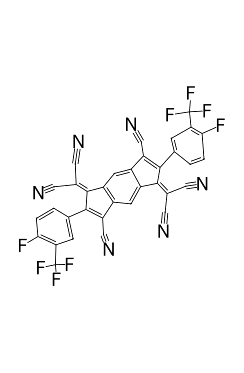 N#CC(C#N)=C1C(c2ccc(F)c(C(F)(F)F)c2)=C(C#N)c2cc3c(cc21)C(C#N)=C(c1ccc(F)c(C(F)(F)F)c1)C3=C(C#N)C#N